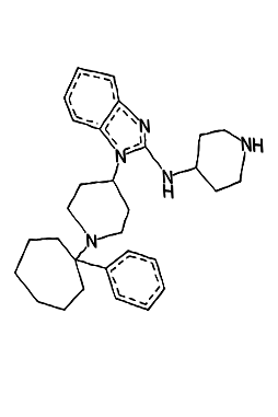 c1ccc(C2(N3CCC(n4c(NC5CCNCC5)nc5ccccc54)CC3)CCCCCC2)cc1